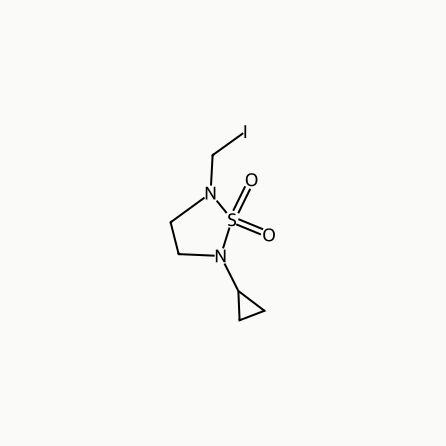 O=S1(=O)N(CI)CCN1C1CC1